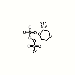 C1COCCO1.O=S(=O)([O-])OOS(=O)(=O)[O-].[Na+].[Na+]